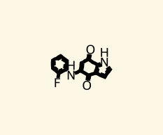 O=C1C(Nc2ccccc2F)=CC(=O)c2[nH]ccc21